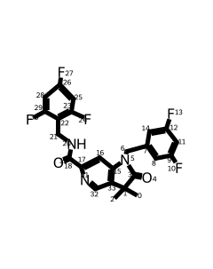 CC1(C)C(=O)N(Cc2cc(F)cc(F)c2)c2cc(C(=O)NCc3c(F)cc(F)cc3F)ncc21